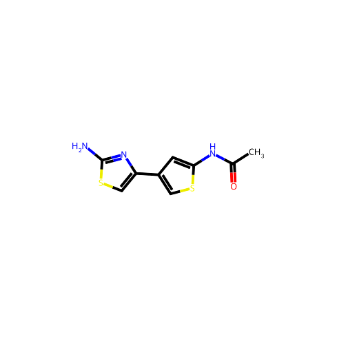 CC(=O)Nc1cc(-c2csc(N)n2)cs1